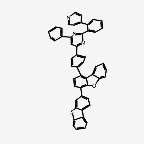 c1ccc(-c2cc(-c3ccc(-c4ccc(-c5ccc6c(c5)sc5ccccc56)c5oc6ccccc6c45)cc3)nc(-c3ccccc3-c3ccncc3)n2)cc1